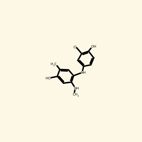 CNc1cc(O)c(C)cc1Nc1ccc(O)c(Cl)c1